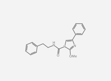 COc1nc(-c2ccccc2)cn1C(=O)NCCc1ccccc1